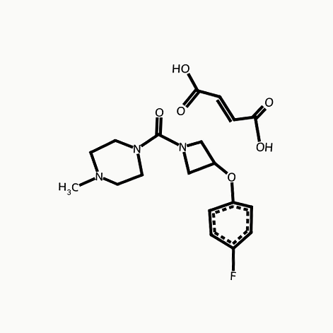 CN1CCN(C(=O)N2CC(Oc3ccc(F)cc3)C2)CC1.O=C(O)/C=C/C(=O)O